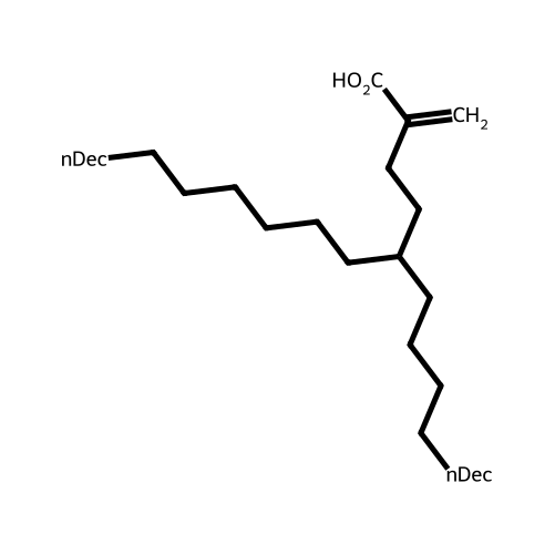 C=C(CCC(CCCCCCCCCCCCCC)CCCCCCCCCCCCCCCC)C(=O)O